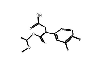 COC(C)OC(=O)C(CC(=O)O)c1ccc(F)c(F)c1